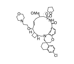 CO[C@@H]1C/C=C/[C@H](OCCN2CCOCC2)[C@@H]2CC[C@H]2CN2C[C@@]3(CCCc4cc(Cl)ccc43)COc3ccc(cc32)C(=O)NS(=O)(=O)[C@H]1C[C@@H]1CCCO1